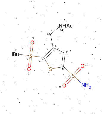 CCC(C)S(=O)(=O)c1sc(S(N)(=O)=O)cc1CNC(C)=O